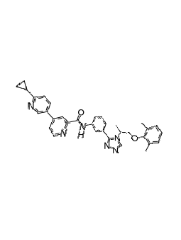 Cc1cccc(C)c1OCC(C)n1cnnc1-c1cccc(NC(=O)c2cc(-c3ccc(C4CC4)nc3)ccn2)c1